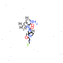 CC(C)[C@@H](C(N)=O)N(C)C(=O)N1C[C@H]2[C@@H]1CCN2C(=O)/C=C/CF